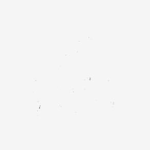 CN(C)C(=O)c1cc(Nc2nc(NC3CCCC[C@@H]3N)c(F)cc2C(N)=O)ccn1